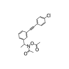 CC(=O)ON(C(C)=O)C(C)c1cccc(C#Cc2ccc(Cl)cc2)c1